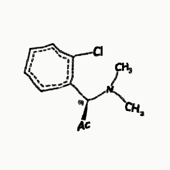 CC(=O)[C@@H](c1ccccc1Cl)N(C)C